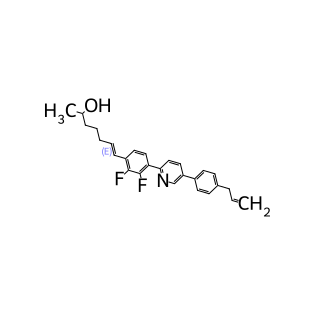 C=CCc1ccc(-c2ccc(-c3ccc(/C=C/CCCC(C)O)c(F)c3F)nc2)cc1